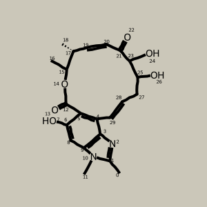 Cc1nc2c3c(c(O)cc2n1C)C(=O)OC(C)[C@H](C)/C=C\C(=O)C(O)C(O)C/C=C/3